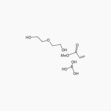 C=CC(=O)OC.OB(O)O.OCCOCCO